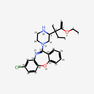 C=C(OCC)C(C)(CC)C1CN(C2=Nc3cc(Cl)ccc3Oc3ccccc32)CCN1